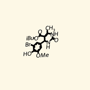 CCC(C)OC(=O)C1=C(C)NC(=O)NC1c1cc(Br)c(O)c(OC)c1